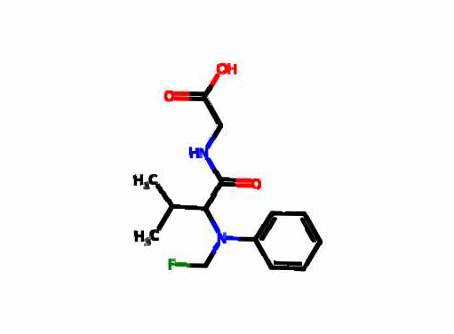 CC(C)C(C(=O)NCC(=O)O)N(CF)c1ccccc1